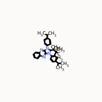 CC(C)c1ccc(N2c3nc4ccccc4nc3N3c4ccc(C(C)C)cc4C(C)(C)C(C)(C)C23)cc1